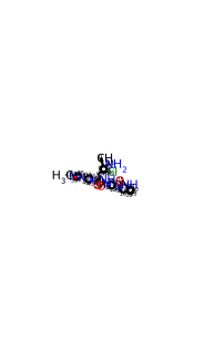 C#Cc1cc(C[C@@H](NC(=O)N2CCC(N3CCc4ccccc4NC3=O)CC2)C(=O)N2CCC(N3CC4CC3CN4C)CC2)cc(Cl)c1N